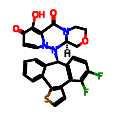 O=C1c2c(O)c(=O)ccn2N([C@@H]2c3ccccc3-c3sccc3-c3c2ccc(F)c3F)[C@@H]2COCCN12